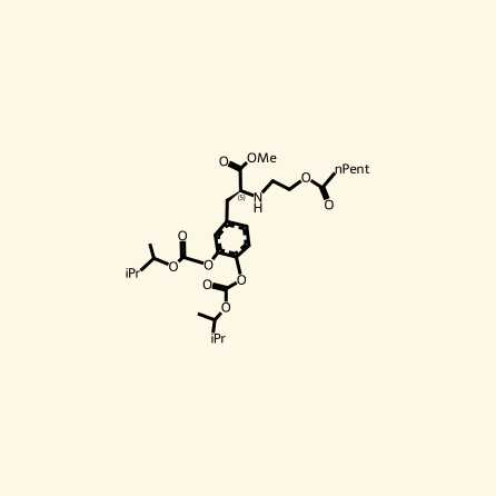 CCCCCC(=O)OCCN[C@@H](Cc1ccc(OC(=O)OC(C)C(C)C)c(OC(=O)OC(C)C(C)C)c1)C(=O)OC